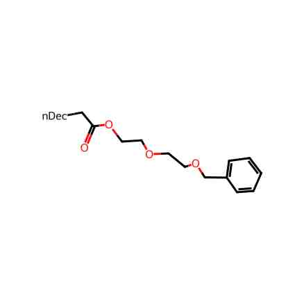 CCCCCCCCCCCC(=O)OCCOCCOCc1ccccc1